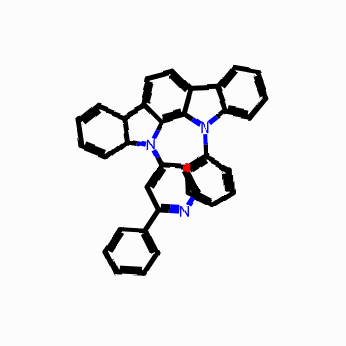 C1=CC2c3ccc4c5ccccc5n(-c5ccccc5)c4c3N(c3ccnc(-c4ccccc4)c3)C2C=C1